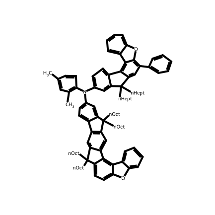 CCCCCCCCC1(CCCCCCCC)c2cc(N(c3ccc4c(c3)C(CCCCCCC)(CCCCCCC)c3cc(-c5ccccc5)c5oc6ccccc6c5c3-4)c3ccc(C)cc3C)ccc2-c2cc3c(cc21)-c1c(ccc2oc4ccccc4c12)C3(CCCCCCCC)CCCCCCCC